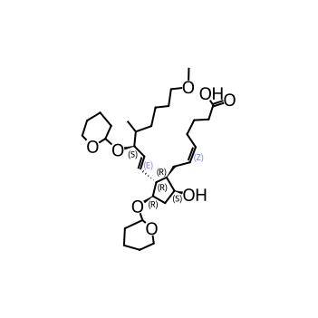 COCCCCC(C)[C@@H](/C=C/[C@@H]1[C@@H](C/C=C\CCCC(=O)O)[C@@H](O)C[C@H]1OC1CCCCO1)OC1CCCCO1